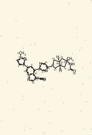 Cn1ccc(-c2cc(-c3cnc(N4C[C@@H]5C[C@@](C)(NC=O)C[C@@H]5C4)cn3)c3c(C#N)cnn3c2)n1